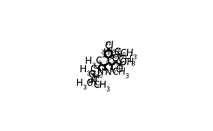 Cc1nc2c(c(C)c(C)n2CC(=O)N(C)C)c(-c2ccc(Cl)cc2)c1[C@H](OC(C)(C)C)C(=O)O